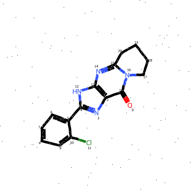 O=c1c2nc(-c3ccccc3Cl)[nH]c2nc2n1CCCC2